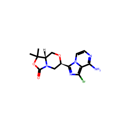 CC1(C)OC(=O)N2C[C@H](c3nc(Br)c4c(N)nccn34)OC[C@H]21